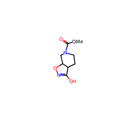 COC(=O)N1CCC2C(O)=NOC2C1